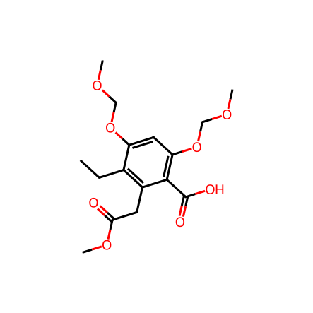 CCc1c(OCOC)cc(OCOC)c(C(=O)O)c1CC(=O)OC